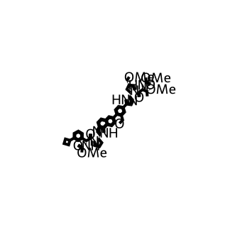 COC[C@H]1C[C@@H](c2ncc(-c3ccc4c(c3)COc3cc5c(ccc6nc([C@@H]7CCCN7C(=O)[C@H](NC(=O)OC)c7cccc(C8CCC8)c7)[nH]c65)cc3-4)[nH]2)N(C(=O)[C@@H](NC(=O)OC)[C@@H](C)OC)C1